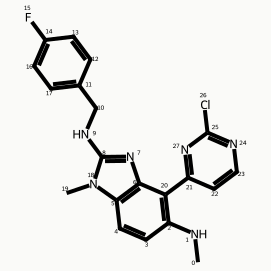 CNc1ccc2c(nc(NCc3ccc(F)cc3)n2C)c1-c1ccnc(Cl)n1